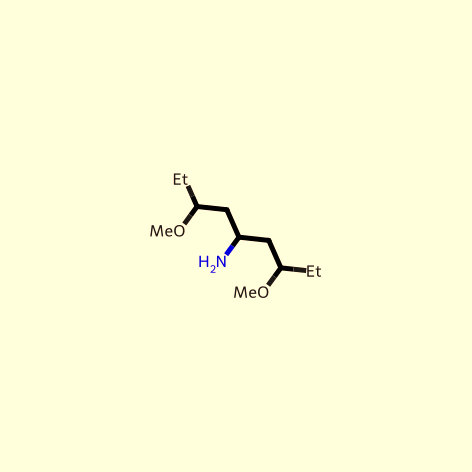 CCC(CC(N)CC(CC)OC)OC